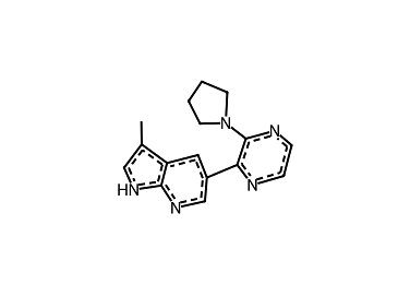 Cc1c[nH]c2ncc(-c3nccnc3N3CCCC3)cc12